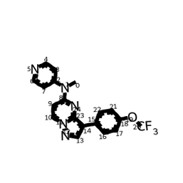 CN(c1ccncc1)c1ccn2ncc(-c3ccc(OC(F)(F)F)cc3)c2n1